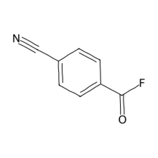 N#Cc1ccc(C(=O)F)cc1